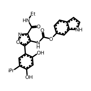 CCNC(=O)c1noc(-c2cc(C(C)C)c(O)cc2O)c1NC(=O)Oc1ccc2cc[nH]c2c1